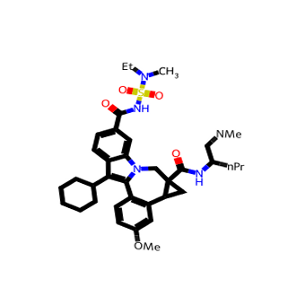 CCCC(CNC)NC(=O)C12CC1c1cc(OC)ccc1-c1c(C3CCCCC3)c3ccc(C(=O)NS(=O)(=O)N(C)CC)cc3n1C2